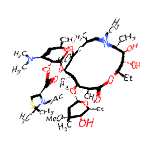 CC[C@@H]1O[C@@H](O[C@H]2[C@H](C)[C@@H](O[C@@H]3O[C@H](C)C[C@H](N(C)C)[C@H]3OC(=O)[C@@H]3CSC(C)(C)N3C(C)=O)[C@](C)(O)C[C@@H](C)CN(C)[C@H](C)[C@@H](O)[C@H](O)[C@@H](CC)OC(=O)[C@@H]2C)C[C@@](C)(OC)[C@H]1O